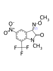 CO/N=C1\C(=O)N(C)c2c1cc([N+](=O)[O-])cc2C(F)(F)F